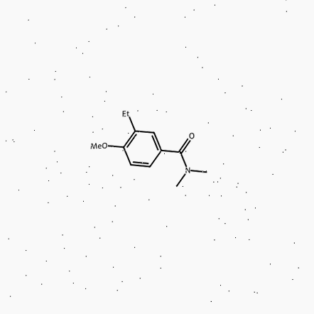 CCc1cc(C(=O)N(C)C)ccc1OC